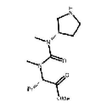 COC(=O)[C@H](C(C)C)N(C)C(=O)N(C)[C@H]1CCNC1